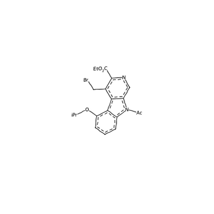 CCOC(=O)c1ncc2c(c1CBr)c1c(OC(C)C)cccc1n2C(C)=O